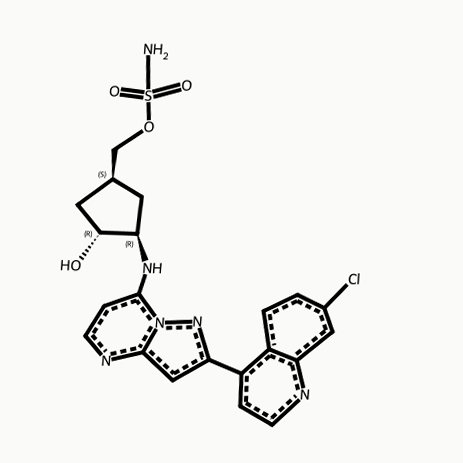 NS(=O)(=O)OC[C@@H]1C[C@@H](O)[C@H](Nc2ccnc3cc(-c4ccnc5cc(Cl)ccc45)nn23)C1